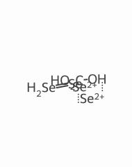 O=C(O)O.[Se+2].[Se+2].[Se]=[SeH2]